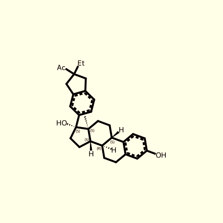 CCC1(C(C)=O)Cc2ccc([C@]3(O)CC[C@H]4[C@@H]5CCc6cc(O)ccc6[C@H]5CC[C@@]43C)cc2C1